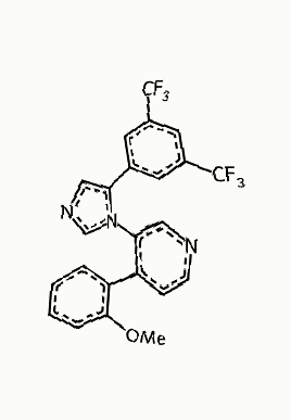 COc1ccccc1-c1ccncc1-n1cncc1-c1cc(C(F)(F)F)cc(C(F)(F)F)c1